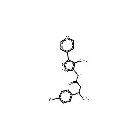 Cc1c(-c2ccncc2)n[nH]c1NC(=O)CN(C)c1ccc(Cl)cc1